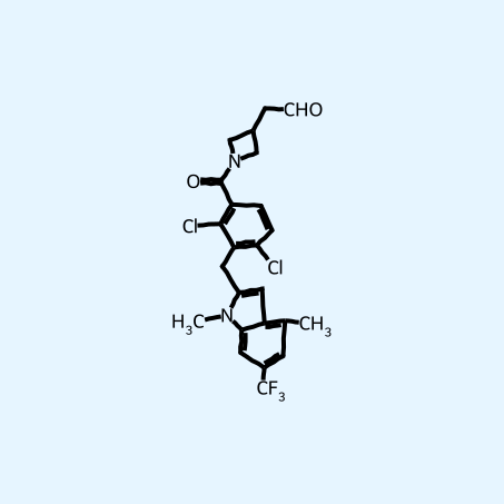 Cc1cc(C(F)(F)F)cc2c1cc(Cc1c(Cl)ccc(C(=O)N3CC(CC=O)C3)c1Cl)n2C